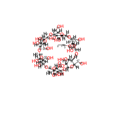 CC#CO[C@@H]1[C@@H](O)[C@H]2O[C@H]3[C@H](O)[C@@H](O)[C@@H](O[C@H]4[C@H](O)[C@@H](O)[C@@H](O[C@H]5[C@H](O)[C@@H](O)[C@@H](O[C@H]6[C@H](O)[C@@H](O)[C@@H](O[C@H]7[C@H](O)[C@@H](O)[C@@H](O[C@H]1[C@@H](CO)O2)O[C@@H]7CO)O[C@@H]6CO)O[C@@H]5CO)O[C@@H]4CO)O[C@@H]3CO